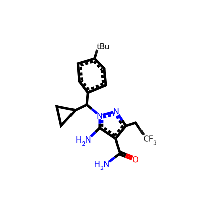 CC(C)(C)c1ccc(C(C2CC2)n2nc(CC(F)(F)F)c(C(N)=O)c2N)cc1